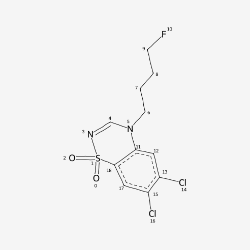 O=S1(=O)N=CN(CCCCF)c2cc(Cl)c(Cl)cc21